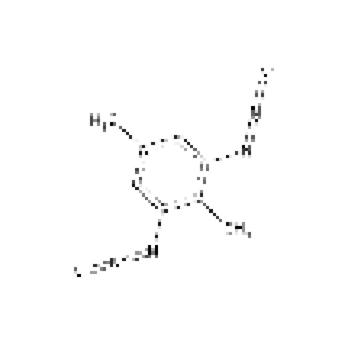 Cc1cc(N=[N+]=[N-])c(C)c(N=[N+]=[N-])c1